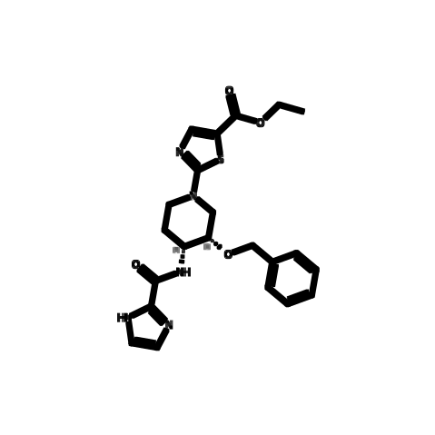 CCOC(=O)c1cnc(N2CC[C@@H](NC(=O)c3ncc[nH]3)[C@@H](OCc3ccccc3)C2)s1